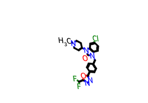 CN1CCC(n2c(=O)n(Cc3ccc(-c4nnc(C(F)F)o4)cc3)c3ccc(Cl)cc32)CC1